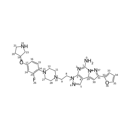 Nc1nc2c(cnn2CCN2CCN(c3ccc(OC4CCNC4)cc3F)CC2)c2cc(-c3ccco3)nn12